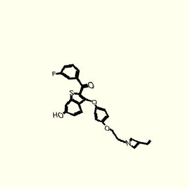 CCC1CN(CCOc2ccc(Oc3c(C(=O)c4cccc(F)c4)sc4cc(O)ccc34)cc2)C1